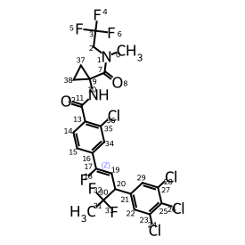 CN(CC(F)(F)F)C(=O)C1(NC(=O)c2ccc(/C(F)=C/C(c3cc(Cl)c(Cl)c(Cl)c3)C(C)(F)F)cc2Cl)CC1